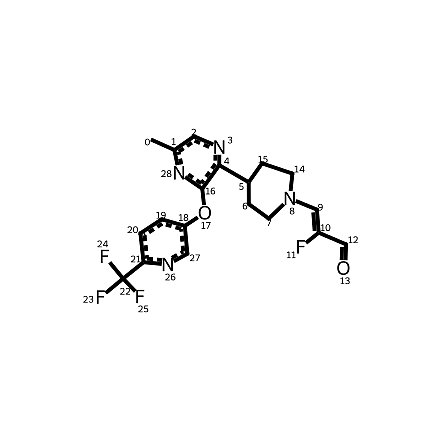 Cc1cnc(C2CCN(C=C(F)C=O)CC2)c(Oc2ccc(C(F)(F)F)nc2)n1